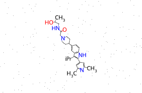 Cc1cc(-c2[nH]c3ccc(C4CCN(CC(=O)NCC(C)O)CC4)cc3c2C(C)C)cc(C)n1